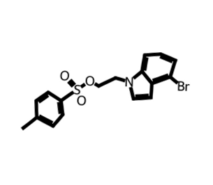 Cc1ccc(S(=O)(=O)OCCn2ccc3c(Br)cccc32)cc1